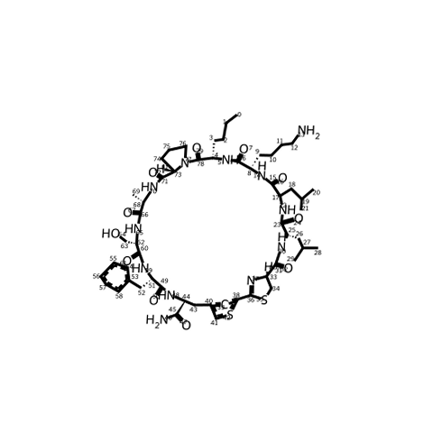 CCCC[C@@H]1NC(=O)[C@H](CCCCN)NC(=O)C(CC(C)C)NC(=O)[C@H](CC(C)C)NC(=O)[C@@H]2CSC(=N2)c2cc(cs2)C[C@@H](C(N)=O)NC(=O)[C@H](Cc2ccccc2)NC(=O)[C@H](CO)NC(=O)[C@H](C)NC(=O)[C@@H]2CCCN2C1=O